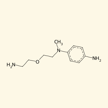 CN(CCOCCN)c1ccc(N)cc1